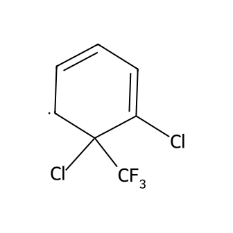 FC(F)(F)C1(Cl)[CH]C=CC=C1Cl